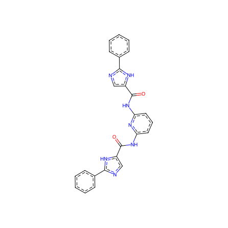 O=C(Nc1cccc(NC(=O)c2cnc(-c3ccccc3)[nH]2)n1)c1cnc(-c2ccccc2)[nH]1